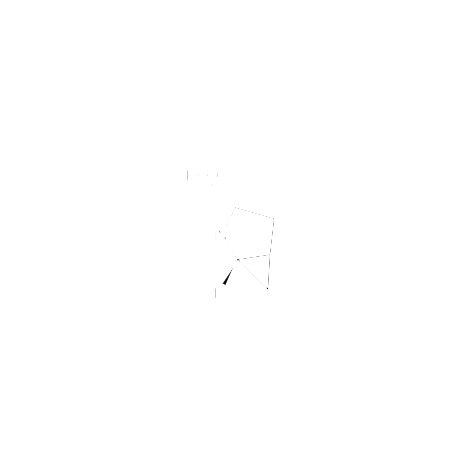 O=C(O)[C@@H]1CC2C[C@@H]2N1